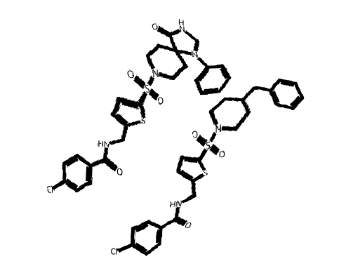 O=C(NCc1ccc(S(=O)(=O)N2CCC(Cc3ccccc3)CC2)s1)c1ccc(Cl)cc1.O=C(NCc1ccc(S(=O)(=O)N2CCC3(CC2)C(=O)NCN3c2ccccc2)s1)c1ccc(Cl)cc1